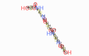 O=C(NCSCSC/N=C/OOCSCSCOC(=O)NCSCSC/N=C/OOCSCO)OCSCO